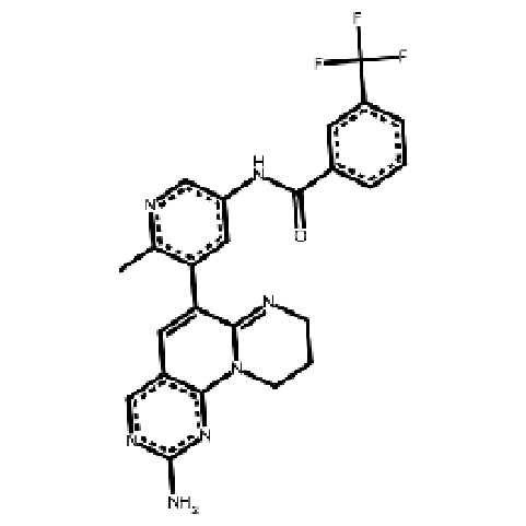 Cc1ncc(NC(=O)c2cccc(C(F)(F)F)c2)cc1C1=Cc2cnc(N)nc2N2CCCN=C12